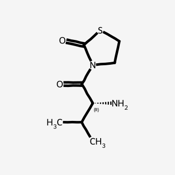 CC(C)[C@@H](N)C(=O)N1CCSC1=O